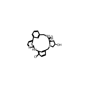 O=C1NCc2cccc(c2)-c2ccnc(n2)Nc2cc(ccc2Cl)CN2C[C@H](O)C[C@@H]12